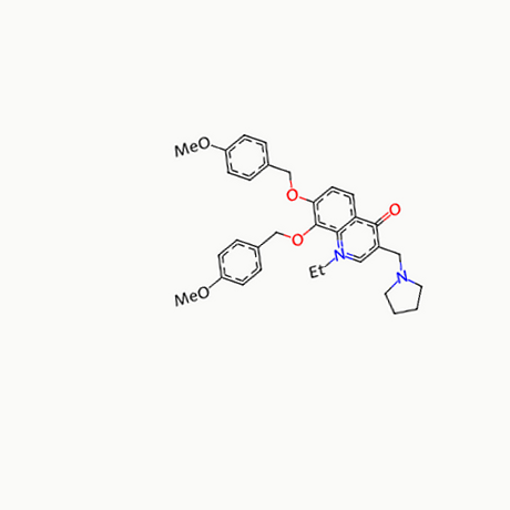 CCn1cc(CN2CCCC2)c(=O)c2ccc(OCc3ccc(OC)cc3)c(OCc3ccc(OC)cc3)c21